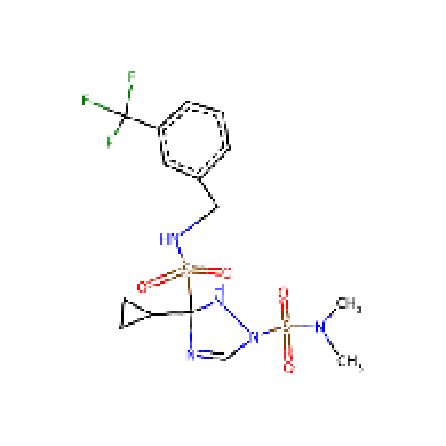 CN(C)S(=O)(=O)N1C=NC(C2CC2)(S(=O)(=O)NCc2cccc(C(F)(F)F)c2)N1